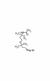 CC(=O)NC(C)(C)CCOC(C)(C)CCN=[N+]=[N-]